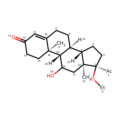 CCO[C@]1(C(C)=O)CC[C@H]2[C@@H]3CCC4=CC(=O)CC[C@]4(C)[C@H]3C(O)C[C@@]21C